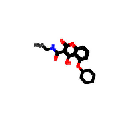 O=C(O)CNC(=O)c1c(O)c2c(OC3CCCCC3)cccc2oc1=O